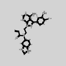 C=CC(=O)N(CCn1nc(-c2ccc(F)c(O)c2)c2c(N)ncnc21)c1ccc2[nH]cnc2c1